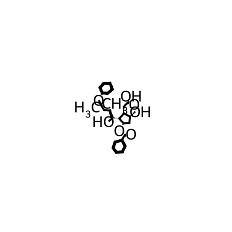 CC(C)(CC=C(O)[C@@H]1[C@@H](CC(=O)O)[C@@H](O)C[C@@H]1OC(=O)c1ccccc1)Oc1ccccc1